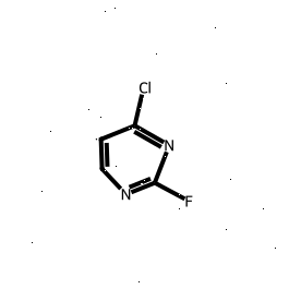 Fc1nc[c]c(Cl)n1